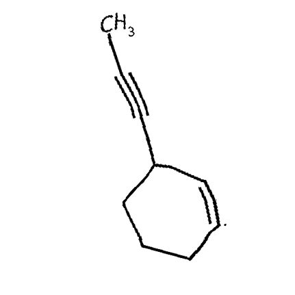 CC#CC1C=[C]CCC1